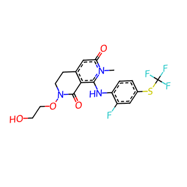 Cn1c(Nc2ccc(SC(F)(F)F)cc2F)c2c(cc1=O)CCN(OCCO)C2=O